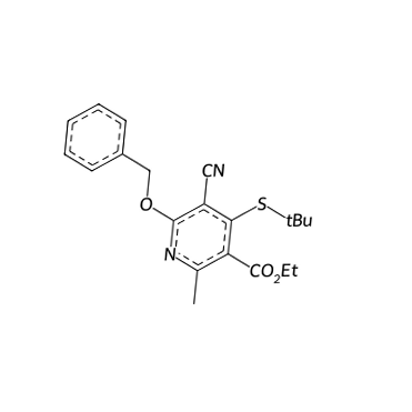 CCOC(=O)c1c(C)nc(OCc2ccccc2)c(C#N)c1SC(C)(C)C